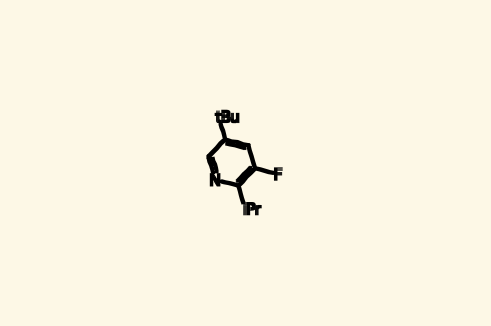 CC(C)c1ncc(C(C)(C)C)cc1F